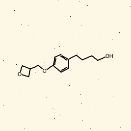 OCCCCc1ccc(OCC2COC2)cc1